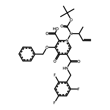 C=CC(C)N(C(=O)OC(C)(C)C)n1cc(C(=O)NCc2c(F)cc(F)cc2F)c(=O)c(OCc2ccccc2)c1C(=O)O